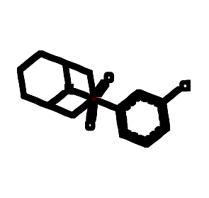 O=S(=O)(c1cccc(Cl)c1)N1C2CCCC1CCC2